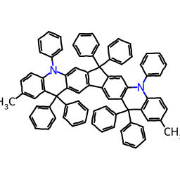 Cc1ccc2c(c1)C(c1ccccc1)(c1ccccc1)c1cc3c(cc1N2c1ccccc1)C(c1ccccc1)(c1ccccc1)c1cc2c(cc1-3)C(c1ccccc1)(c1ccccc1)c1cc(C)ccc1N2c1ccccc1